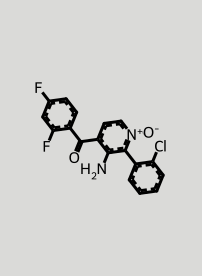 Nc1c(C(=O)c2ccc(F)cc2F)cc[n+]([O-])c1-c1ccccc1Cl